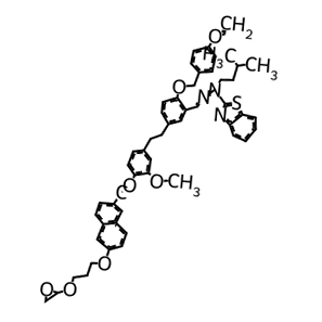 C=COc1ccc(COc2ccc(CCc3ccc(OCc4ccc5cc(OCCCOC6CO6)ccc5c4)c(OC)c3)cc2/C=N/N(CCC(C)C)c2nc3ccccc3s2)cc1